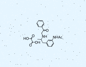 CC(=O)Nc1cccc(CC(C)NCC(=O)c2ccccc2)c1.O=C(O)C(=O)O